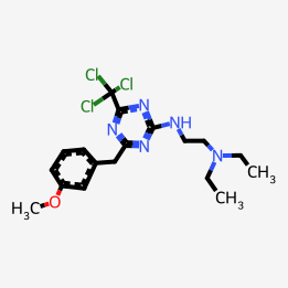 CCN(CC)CCNc1nc(Cc2cccc(OC)c2)nc(C(Cl)(Cl)Cl)n1